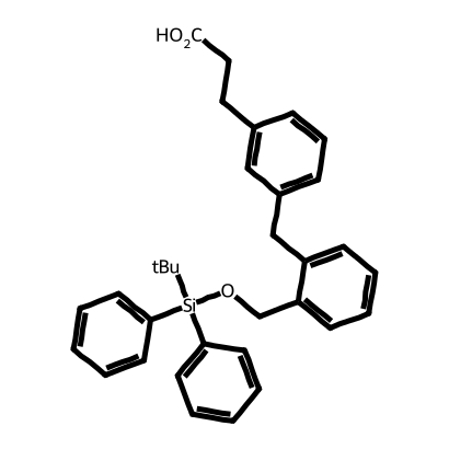 CC(C)(C)[Si](OCc1ccccc1Cc1cccc(CCC(=O)O)c1)(c1ccccc1)c1ccccc1